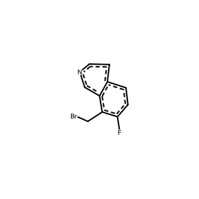 Fc1ccc2ccncc2c1CBr